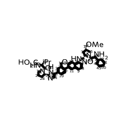 COC[C@H]1C[C@@H](c2nc3ccc4cc5c(cc4c3[nH]2)OCc2cc(-c3cnc([C@@H]4CCCN4C(=O)[C@@H](NC(=O)O)C(C)C)[nH]3)ccc2-5)N(C(=O)[C@H](N)c2ccccc2)C1